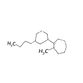 CCCCC1CCCC([C]2CCCCCC2C)C1